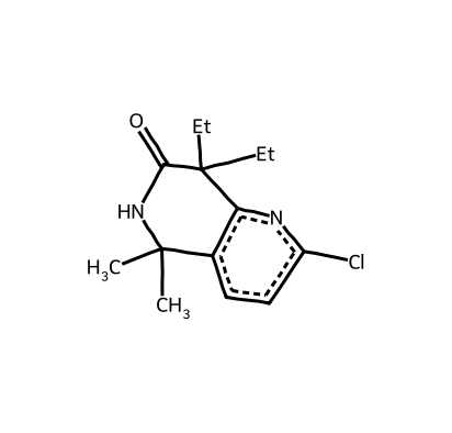 CCC1(CC)C(=O)NC(C)(C)c2ccc(Cl)nc21